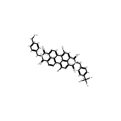 O=C1c2ccc3c4c(F)cc5c6c(cc(F)c(c7ccc(c2c37)C(=O)N1Cc1ccc(CF)cc1)c64)C(=O)N(Cc1ccc(C(F)(F)F)cc1)C5=O